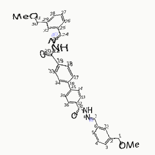 COCc1cccc(/C=N/NC(=O)c2ccc(-c3ccc(C(=O)N/N=C/c4cccc(COC)c4)cc3)cc2)c1